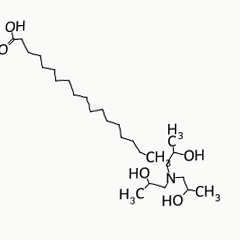 CC(O)CN(CC(C)O)CC(C)O.CCCCCCCCCCCCCCCCCC(=O)O